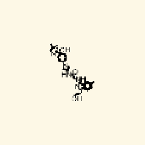 Cc1ccc2c(c1)c(NCC(=O)NC1CN([C@H]3CC[C@@](O)(c4ncc(C)s4)CC3)C1)nn2CCO